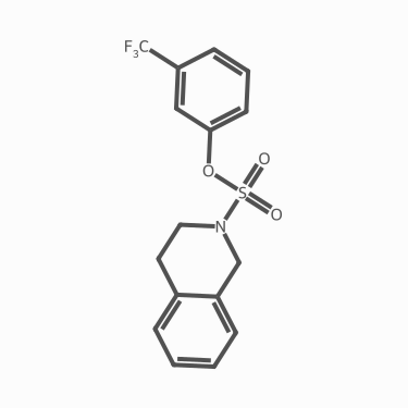 O=S(=O)(Oc1cccc(C(F)(F)F)c1)N1CCc2ccccc2C1